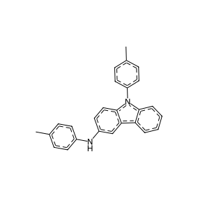 Cc1ccc(Nc2ccc3c(c2)c2ccccc2n3-c2ccc(C)cc2)cc1